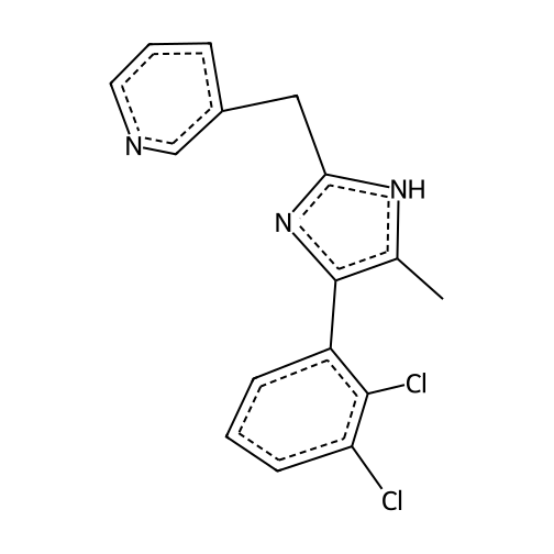 Cc1[nH]c(Cc2cccnc2)nc1-c1cccc(Cl)c1Cl